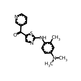 Cc1cc(N(C)C)ccc1Nc1ncc(C(=O)c2cccnc2)s1